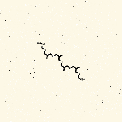 CCPCOCC(C)COCC(C)COCC(C)COCC(C)COCC(C)CC